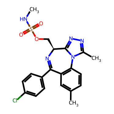 CNS(=O)(=O)OC[C@@H]1N=C(c2ccc(Cl)cc2)c2cc(C)ccc2-n2c(C)nnc21